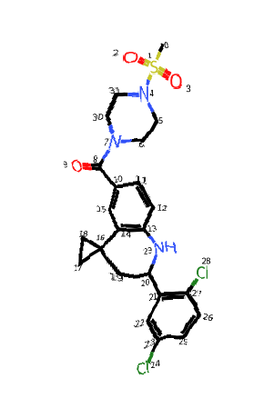 CS(=O)(=O)N1CCN(C(=O)c2ccc3c(c2)C2(CC2)CC(c2cc(Cl)ccc2Cl)N3)CC1